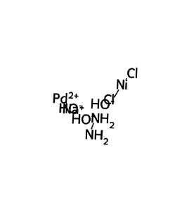 NN.[Cl][Ni][Cl].[Na+].[OH-].[OH-].[OH-].[Pd+2]